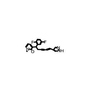 Cn1cccc(C(CC#CC#Cc2cn[nH]c2)c2cc(F)ccc2F)c1=O